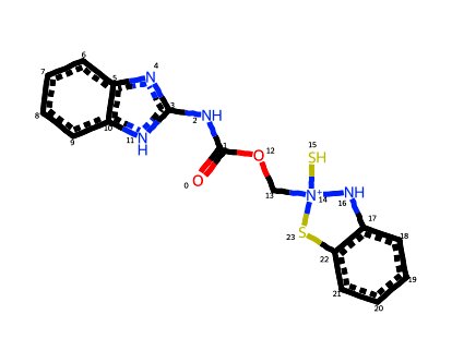 O=C(Nc1nc2ccccc2[nH]1)OC[N+]1(S)Nc2ccccc2S1